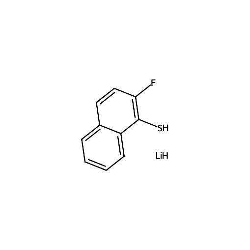 Fc1ccc2ccccc2c1S.[LiH]